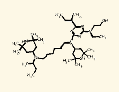 CCC(C)c1nc(N(CC)CCO)nc(N(CCCCCCN(C(C)CC)C2CC(C)(C)NC(C)(C)C2)C2CC(C)(C)NC(C)(C)C2)n1